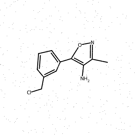 Cc1noc(-c2cccc(CCl)c2)c1N